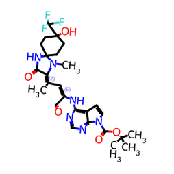 CC(/C=C(\C=O)Nc1ncnc2c1ccn2C(=O)OC(C)(C)C)=C1\C(=O)NC2(CCC(O)(C(F)(F)F)CC2)N1C